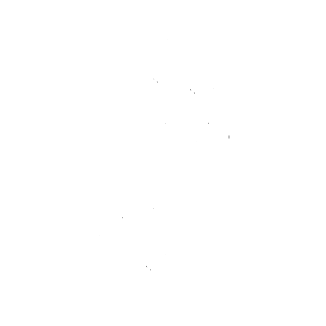 CC(C)(O)c1onc(-c2c(Cl)cccc2Cl)c1COc1ccc(C2(O)CCN(c3ccc(C(=O)O)cn3)C2)c(Cl)c1